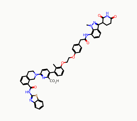 Cc1c(OCCOc2ccc(CC(=O)Nc3cccc4c(C5CCC(=O)NC5=O)nn(C)c34)cc2)cccc1-c1ccc(N2CCc3cccc(C(=O)Nc4nc5ccccc5s4)c3C2)nc1C(=O)O